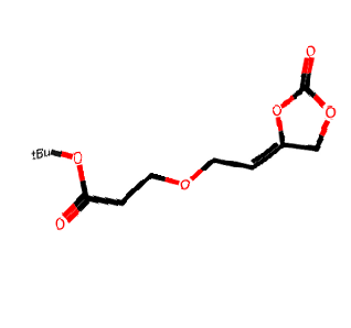 CC(C)(C)OC(=O)CCOCC=C1COC(=O)O1